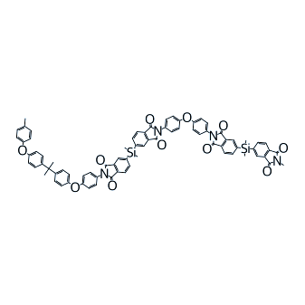 Cc1ccc(Oc2ccc(C(C)(C)c3ccc(Oc4ccc(N5C(=O)c6ccc([Si](C)(C)c7ccc8c(c7)C(=O)N(c7ccc(Oc9ccc(N%10C(=O)c%11ccc([Si](C)(C)c%12ccc%13c(c%12)C(=O)N(C)C%13=O)cc%11C%10=O)cc9)cc7)C8=O)cc6C5=O)cc4)cc3)cc2)cc1